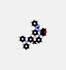 CC1(C)c2cc(N(c3ccccc3)c3ccccc3)ccc2B2c3ccc4c(c3N(c3ccccc3)c3cccc1c32)n(-c1ccccc1)c1nc2ccccc2n41